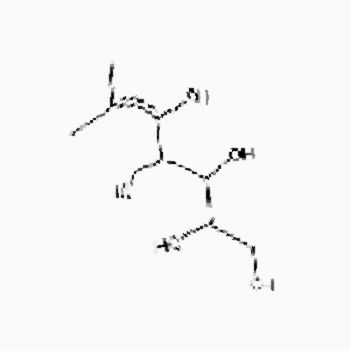 CC(C)=C(O)C(O)C(O)C(O)CO